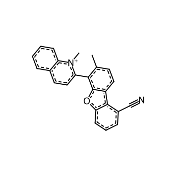 Cc1ccc2c(oc3cccc(C#N)c32)c1-c1ccc2ccccc2[n+]1C